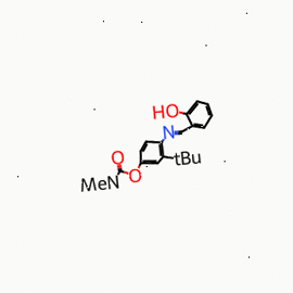 CNC(=O)Oc1ccc(N=Cc2ccccc2O)c(C(C)(C)C)c1